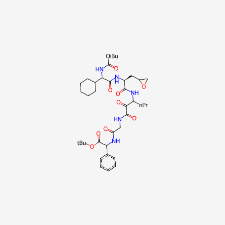 CCCC(NC(=O)[C@H](CC1CO1)NC(=O)C(NC(=O)OCC(C)C)C1CCCCC1)C(=O)C(=O)NCC(=O)NC(C(=O)OC(C)(C)C)c1ccccc1